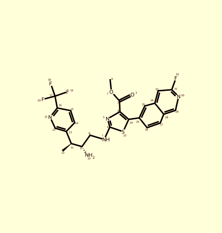 COC(=O)c1nc(NC[C@H](N)[C@@H](C)c2ccc(C(F)(F)F)nc2)sc1-c1ccc2cnc(F)cc2c1